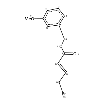 COc1cccc(COC(=O)C=CCBr)c1